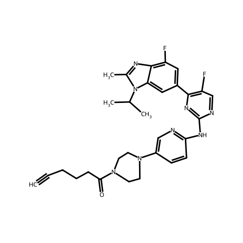 C#CCCCC(=O)N1CCN(c2ccc(Nc3ncc(F)c(-c4cc(F)c5nc(C)n(C(C)C)c5c4)n3)nc2)CC1